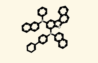 C1=CC(c2ccc(N(c3ccc4ccccc4c3)c3cc(N(c4ccccc4)c4ccc5ccccc5c4)cc4c3oc3ccc5ccccc5c34)cc2)=CCC1